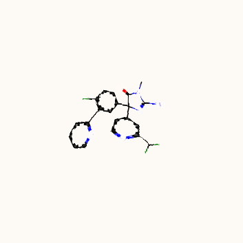 CN1C(=O)C(c2ccnc(C(F)F)c2)(c2ccc(F)c(-c3ccccn3)c2)N=C1N